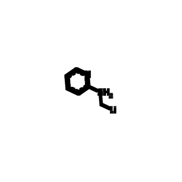 [Li][CH2][SiH2]c1ccccn1